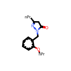 CCCOc1ccccc1CN1N=C(CCC)CC1=O